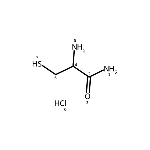 Cl.NC(=O)C(N)CS